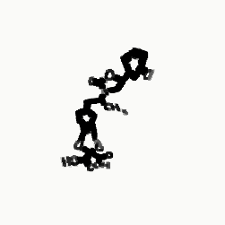 CC(Cc1ccc2c(c1)OC(C(=O)O)(C(=O)O)O2)N1CC(c2cccc(Cl)c2)OC1=O